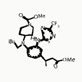 CCC(C)CN(c1ccc([C@H](C)CC(=O)OC)cc1Nc1nc(C(F)(F)F)ns1)C1CCN(C(=O)OC)CC1